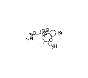 CNCC1Oc2cc(Br)ccc2S(=O)(=O)N(C(C)CO[SiH](C)CC(C)C)CC1C